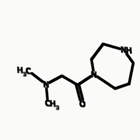 CN(C)CC(=O)N1CCCNCC1